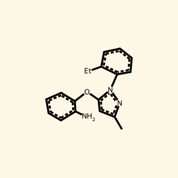 CCc1ccccc1-n1nc(C)cc1Oc1ccccc1N